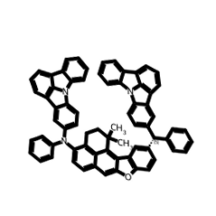 CC1(C)CCc2c(N(c3ccccc3)c3ccc4c(c3)c3cccc5c6ccccc6n4c53)ccc3cc4oc5ccc([C@@H](c6ccccc6)c6ccc7c(c6)c6cccc8c9ccccc9n7c86)cc5c4c1c23